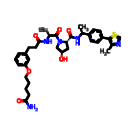 Cc1ncsc1-c1ccc([C@H](C)NC(=O)[C@@H]2C[C@@H](O)CN2C(=O)[C@@H](NC(=O)CCc2cccc(OCCCCC(N)=O)c2)C(C)(C)C)cc1